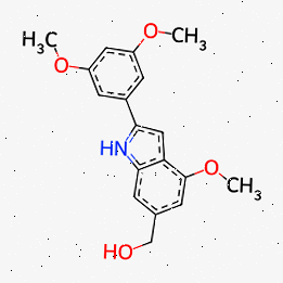 COc1cc(OC)cc(-c2cc3c(OC)cc(CO)cc3[nH]2)c1